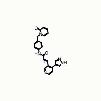 O=C(/C=C/c1cnccc1-c1cn[nH]c1)Nc1ccc(Cn2ccccc2=O)cc1